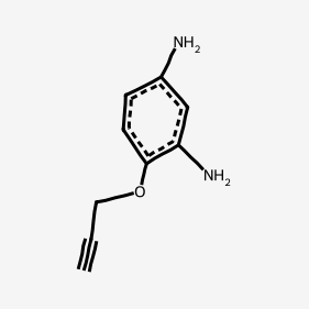 C#CCOc1ccc(N)cc1N